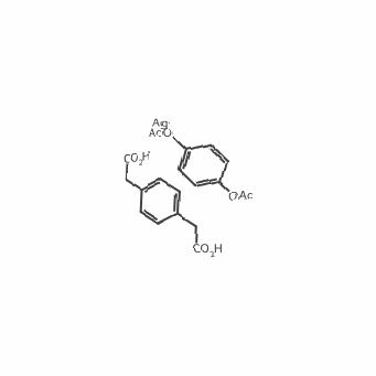 CC(=O)Oc1ccc(OC(C)=O)cc1.O=C(O)Cc1ccc(CC(=O)O)cc1.[Ag]